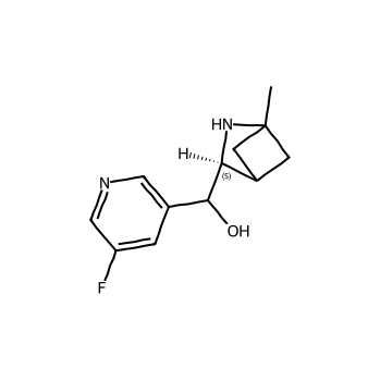 CC12CC(C1)[C@@H](C(O)c1cncc(F)c1)N2